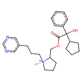 C[N@@+]1(CCCc2cncnc2)CCCC1COC(=O)C(O)(c1ccccc1)C1CCCC1